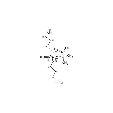 CC(C)(C)[N+](=O)[O-].CCCCO[N+](=O)OCCCC